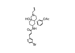 C=CCN1CC[C@@]2(c3cccc(OC(C)=O)c3)C[C@@H](NC(=O)/C=C/c3cc(Br)cs3)CC[C@]2(O)C1